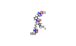 CCOc1ncc(-c2cccc(N(CCCCCc3noc(C(C)(C)C)n3)C(=O)[C@H]3C[C@H](C)C3)c2)cn1